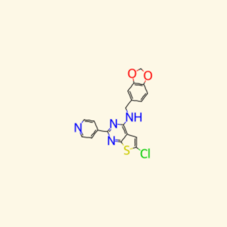 Clc1cc2c(NCc3ccc4c(c3)OCO4)nc(-c3ccncc3)nc2s1